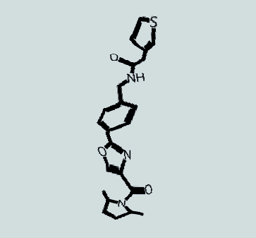 CC1CCC(C)N1C(=O)c1coc(-c2ccc(CNC(=O)Cc3ccsc3)cc2)n1